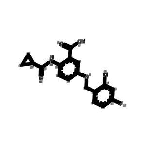 O=C(O)c1cc(OCc2ccc(F)cc2Cl)ccc1NC(=O)C1CC1